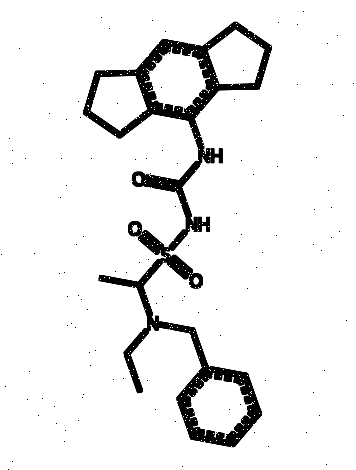 CCN(Cc1ccccc1)C(C)S(=O)(=O)NC(=O)Nc1c2c(cc3c1CCC3)CCC2